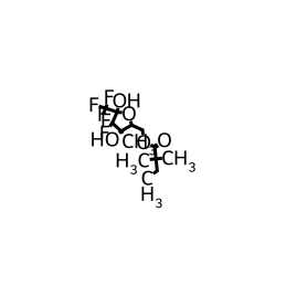 CCC(C)(C)C(=O)OCC1OC(O)(C(F)(F)F)C(F)(F)C1(C)O